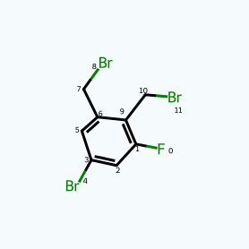 Fc1cc(Br)cc(CBr)c1CBr